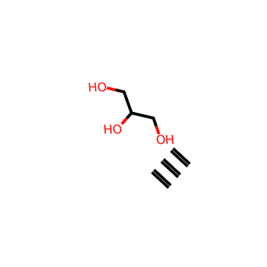 C=C.C=C.C=C.OCC(O)CO